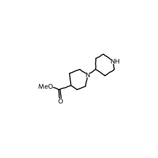 COC(=O)C1CCN(C2CCNCC2)CC1